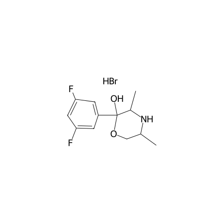 Br.CC1COC(O)(c2cc(F)cc(F)c2)C(C)N1